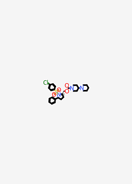 O=C(OC[C@@H]1CCC(c2ccccc2)N1S(=O)(=O)c1ccc(Cl)cc1)N1CCC(N2CCCCC2)CC1